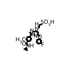 Cc1cc(-c2cnc3c(NCCCS(=O)(=O)O)cc(Oc4cccc(F)c4)nn23)ccc1C(=O)NC1CC1